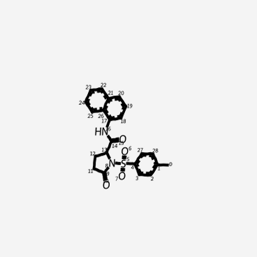 Cc1ccc(S(=O)(=O)N2C(=O)CCC2C(=O)Nc2cccc3ccccc23)cc1